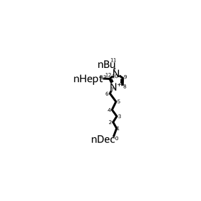 CCCCCCCCCCCCCCCC[n+]1ccn(CCCC)c1CCCCCCC